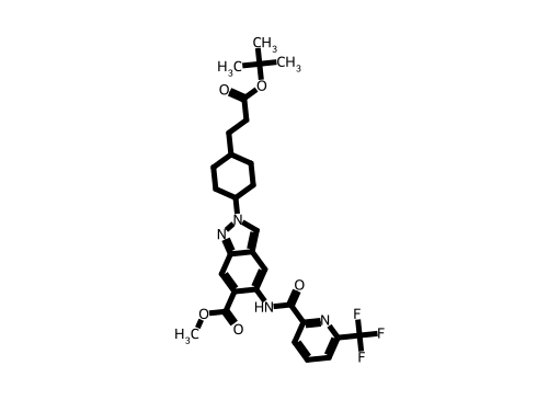 COC(=O)c1cc2nn(C3CCC(CCC(=O)OC(C)(C)C)CC3)cc2cc1NC(=O)c1cccc(C(F)(F)F)n1